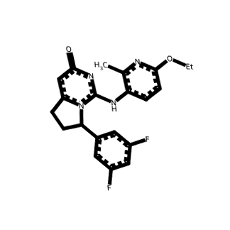 CCOc1ccc(Nc2nc(=O)cc3n2C(c2cc(F)cc(F)c2)CC3)c(C)n1